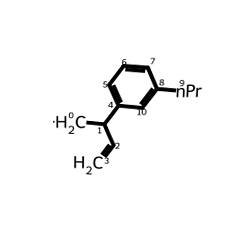 [CH2]C(C=C)c1cccc(CCC)c1